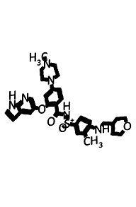 Cc1cc([S+]([O-])NC(=O)c2ccc(N3CCN(C)CC3)cc2Oc2cnc3[nH]ccc3c2)ccc1NCC1CCOCC1